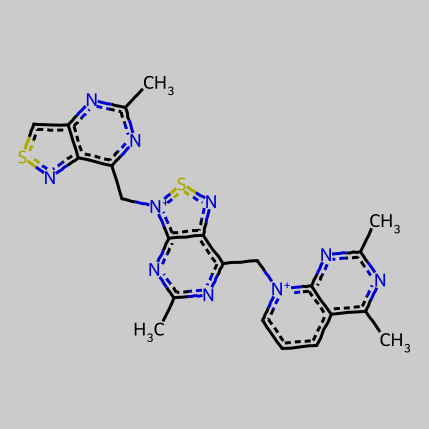 Cc1nc(C[n+]2snc3c(C[n+]4cccc5c(C)nc(C)nc54)nc(C)nc32)c2nscc2n1